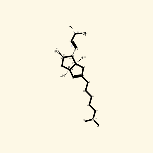 C[C@H](O)/C=C/[C@@H]1[C@H]2CC(CCCCCN(C)C)=C[C@H]2C[C@H]1O